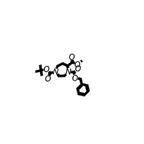 COC(=O)C1CCN(C(=O)OC(C)(C)C)CCN1C(=O)OCc1ccccc1